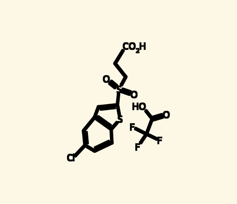 O=C(O)C(F)(F)F.O=C(O)CCS(=O)(=O)c1cc2cc(Cl)ccc2s1